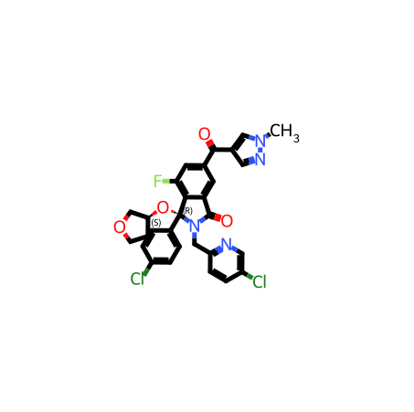 Cn1cc(C(=O)c2cc(F)c3c(c2)C(=O)N(Cc2ccc(Cl)cn2)[C@@]3(O[C@H]2CCOC2)c2ccc(Cl)cc2)cn1